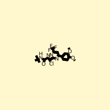 COc1ccc(-c2cc(C(F)(F)F)n3nc(C(=O)NC(C)(C)C)c(Cl)c3n2)cc1OC